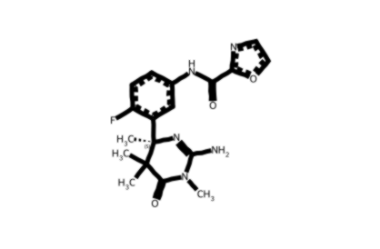 CN1C(=O)C(C)(C)[C@@](C)(c2cc(NC(=O)c3ncco3)ccc2F)N=C1N